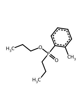 CCCOP(=O)(CCC)c1ccccc1C